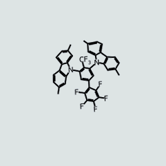 Cc1ccc2c3ccc(C)cc3n(-c3cc(-c4c(F)c(F)c(F)c(F)c4F)cc(-n4c5cc(C)ccc5c5ccc(C)cc54)c3C(F)(F)F)c2c1